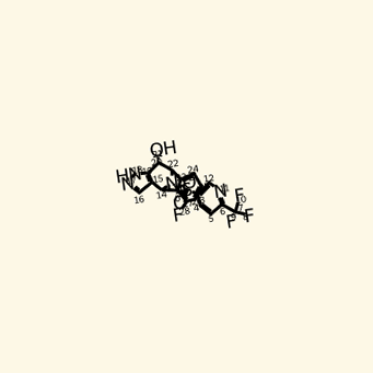 O=S(=O)(c1ccc(C(F)(F)F)nc1)N1C2c3cn[nH]c3[C@@H](O)C1c1cccc(F)c12